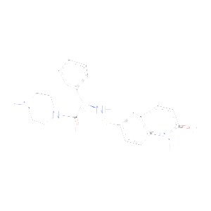 CN1CCN(C(=O)[C@H](NSc2ccc3[nH]c(=O)ccc3c2)c2ccccc2)CC1